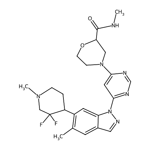 CNC(=O)C1CN(c2cc(-n3ncc4cc(C)c(C5CCN(C)CC5(F)F)cc43)ncn2)CCO1